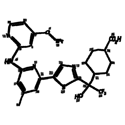 Cc1cc(Nc2cc(OC(C)C)ccn2)nc(-c2cnc(C(O)(C3CCC(C(=O)O)CC3)C(F)(F)F)s2)c1